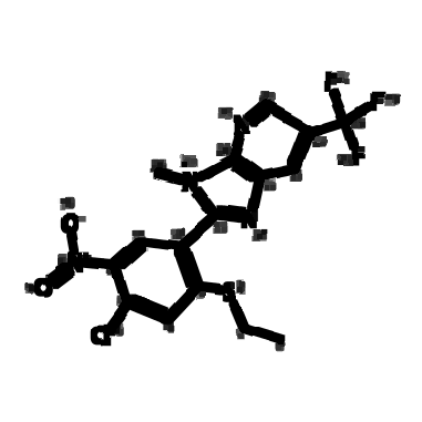 CCSc1cc(Cl)c([N+](=O)[O-])cc1-c1nc2cc(C(F)(F)F)cnc2n1C